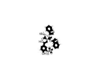 CC(C)(C)OC(=O)N(CC(O)c1ccc(O)c(NS(C)(=O)=O)c1)C(C)(Oc1csc2ccccc12)Oc1csc2ccccc12